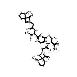 CC(=O)N1CCCC12CN(CC(=O)NC(c1nccc(O[C@H](C)[C@H](NC(=O)CN3CC4(CCCN4C(C)=O)C3=O)C(N)=O)n1)C(C)O)C2=O